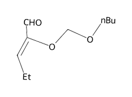 CCC=C(C=O)OCOCCCC